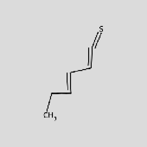 CCC=CC=C=S